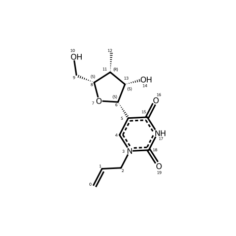 C=CCn1cc([C@@H]2O[C@H](CO)[C@H](C)[C@@H]2O)c(=O)[nH]c1=O